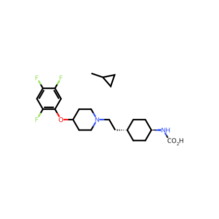 CC1CC1.O=C(O)N[C@H]1CC[C@H](CCN2CCC(Oc3cc(F)c(F)cc3F)CC2)CC1